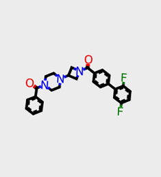 O=C(c1ccccc1)N1CCN(C2CN(C(=O)c3ccc(-c4cc(F)ccc4F)cc3)C2)CC1